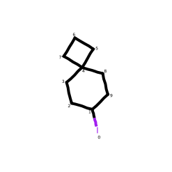 IC1CCC2(CCC2)CC1